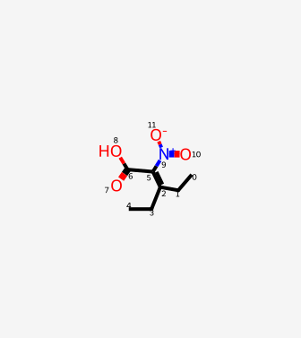 CCC(CC)=C(C(=O)O)[N+](=O)[O-]